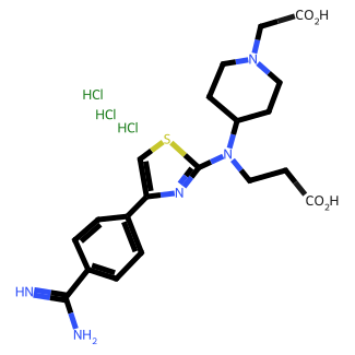 Cl.Cl.Cl.N=C(N)c1ccc(-c2csc(N(CCC(=O)O)C3CCN(CC(=O)O)CC3)n2)cc1